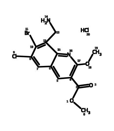 COC(=O)c1cc2cc(Cl)c(Br)c(CN)c2nc1OC.Cl